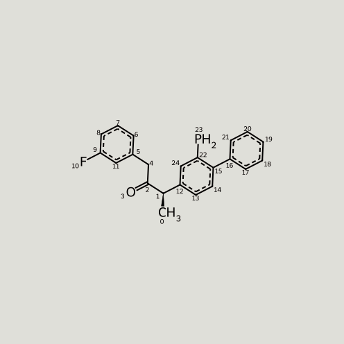 C[C@@H](C(=O)Cc1cccc(F)c1)c1ccc(-c2ccccc2)c(P)c1